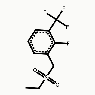 CCS(=O)(=O)Cc1cccc(C(F)(F)F)c1F